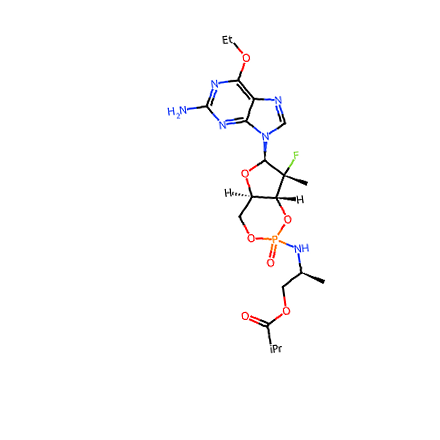 CCOc1nc(N)nc2c1ncn2[C@@H]1O[C@@H]2COP(=O)(N[C@@H](C)COC(=O)C(C)C)O[C@H]2[C@@]1(C)F